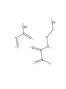 C=C(C)C(=O)OCCS.C=CC(=O)O